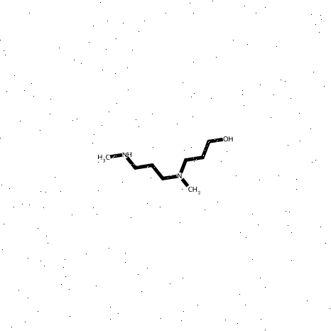 CNCCCN(C)CCCO